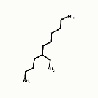 NCC[CH]CCC(CN)CCCN